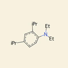 CCN(CC)c1ccc(C(C)C)cc1C(C)C